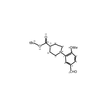 COc1ccc(C=O)cc1N1CCN(C(=O)OC(C)(C)C)CC1